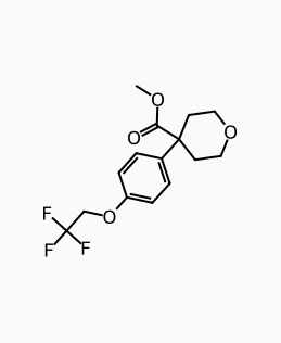 COC(=O)C1(c2ccc(OCC(F)(F)F)cc2)CCOCC1